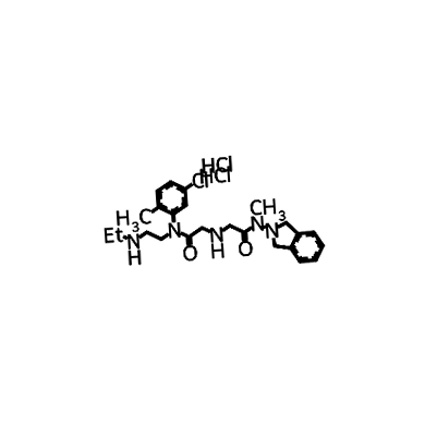 CCNCCN(C(=O)CNCC(=O)N(C)N1Cc2ccccc2C1)c1cc(Cl)ccc1C.Cl.Cl